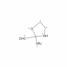 CCCCC1(C=O)NCCO1